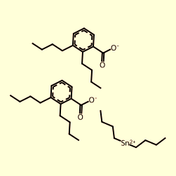 CCCCc1cccc(C(=O)[O-])c1CCCC.CCCCc1cccc(C(=O)[O-])c1CCCC.CCC[CH2][Sn+2][CH2]CCC